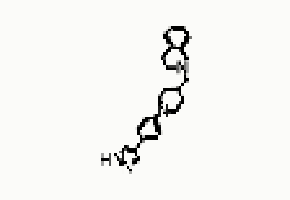 c1ccc2c(c1)CCN(CC1CCN(c3ccc(-c4cn[nH]c4)cc3)CC1)C2